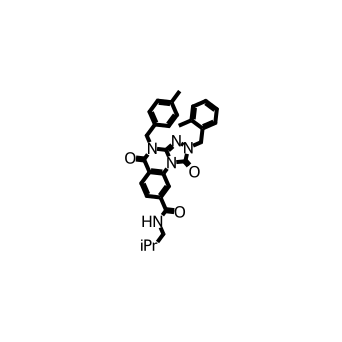 Cc1ccc(Cn2c(=O)c3ccc(C(=O)NCC(C)C)cc3n3c(=O)n(Cc4ccccc4C)nc23)cc1